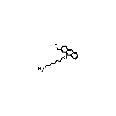 CCCCCCCCOc1c2ccccc2cc2ccc(CC)cc12